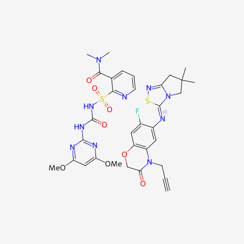 C#CCN1C(=O)COc2cc(F)c(/N=c3\snc4n3CC(C)(C)C4)cc21.COc1cc(OC)nc(NC(=O)NS(=O)(=O)c2ncccc2C(=O)N(C)C)n1